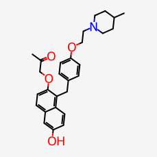 CC(=O)COc1ccc2cc(O)ccc2c1Cc1ccc(OCCN2CCC(C)CC2)cc1